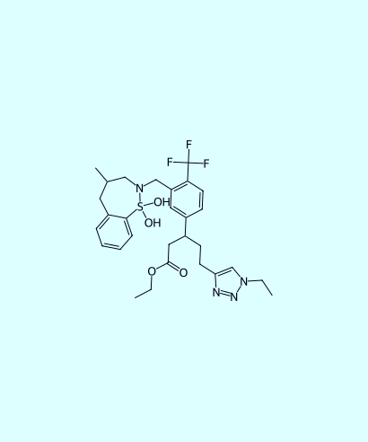 CCOC(=O)CC(CCc1cn(CC)nn1)c1ccc(C(F)(F)F)c(CN2CC(C)Cc3ccccc3S2(O)O)c1